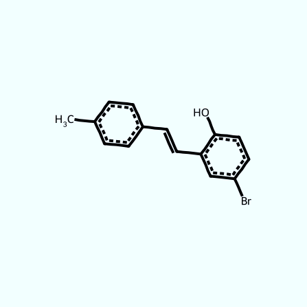 Cc1ccc(C=Cc2cc(Br)ccc2O)cc1